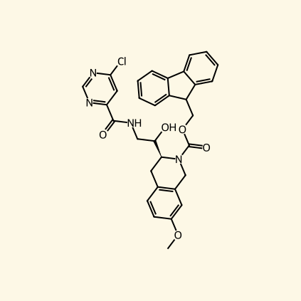 COc1ccc2c(c1)CN(C(=O)OCC1c3ccccc3-c3ccccc31)[C@H](C(O)CNC(=O)c1cc(Cl)ncn1)C2